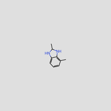 Cc1cccc2c1NC(C)N2